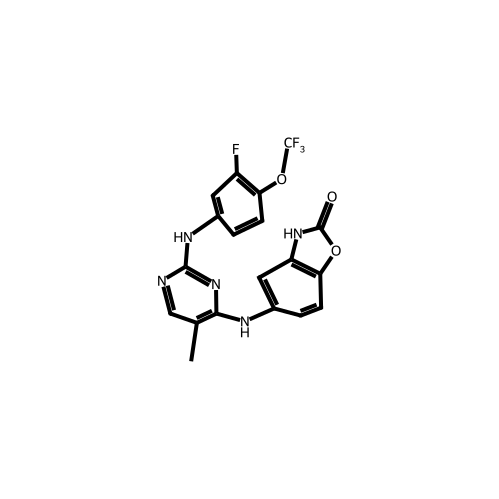 Cc1cnc(Nc2ccc(OC(F)(F)F)c(F)c2)nc1Nc1ccc2oc(=O)[nH]c2c1